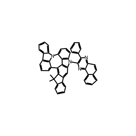 CC1(C)c2ccccc2-c2cc3c4c(c21)c1cccc2c5ccccc5n(c5cccc(c45)n3-c3nc4c(ccc5ccccc54)nc3-c3ccccc3)c21